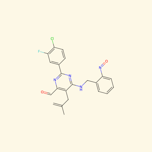 C=C(C)Cc1c(C=O)nc(-c2ccc(Cl)c(F)c2)nc1NCc1ccccc1N=O